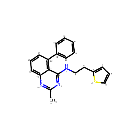 Cc1nc(NCCc2cccs2)c2c(-c3ccccc3)cccc2n1